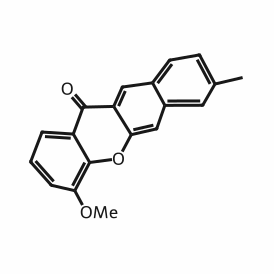 COc1cccc2c(=O)c3cc4ccc(C)cc4cc3oc12